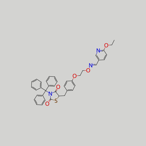 CCOc1ccc(C=NOCCOc2ccc(CC3SC(=O)N(C(c4ccccc4)(c4ccccc4)c4ccccc4)C3=O)cc2)cn1